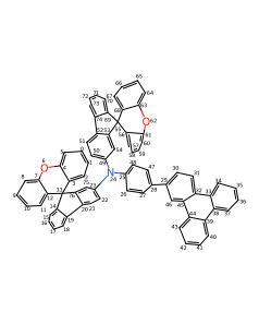 c1ccc2c(c1)Oc1ccccc1C21c2ccccc2-c2ccc(N(c3ccc(-c4ccc5c6ccccc6c6ccccc6c5c4)cc3)c3ccc4c(c3)C3(c5ccccc5Oc5ccccc53)c3ccccc3-4)cc21